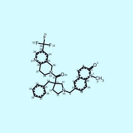 Cn1c(=O)ccc2cc(CN3CCC(Cc4ccccc4)(C(=O)N4CCc5ncc(C(F)(F)F)cc5C4)C3)ccc21